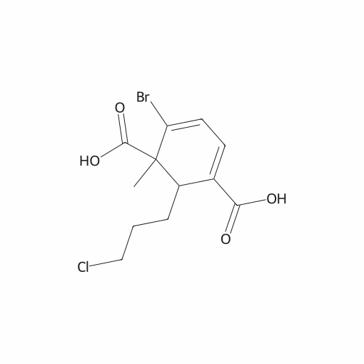 CC1(C(=O)O)C(Br)=CC=C(C(=O)O)C1CCCCl